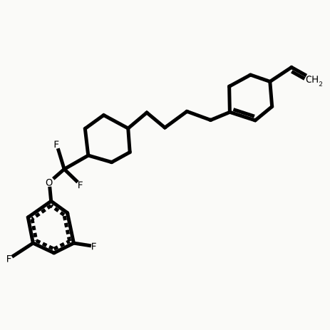 C=CC1CC=C(CCCCC2CCC(C(F)(F)Oc3cc(F)cc(F)c3)CC2)CC1